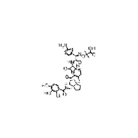 CC(C)(O/N=C(\C(=O)N[C@@H]1C(=O)N2C(C=O)=C(C[N@+]34CCC[C@@]3(CNC(=O)c3ccc(O)c(O)c3Cl)CCC4)CS[C@H]12)c1csc(N)n1)C(=O)O